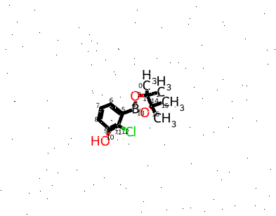 CC1(C)OB(c2cccc(O)c2Cl)OC1(C)C